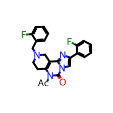 CC(=O)n1c2c(c3nc(-c4ccccc4F)cn3c1=O)CN(Cc1ccccc1F)CC2